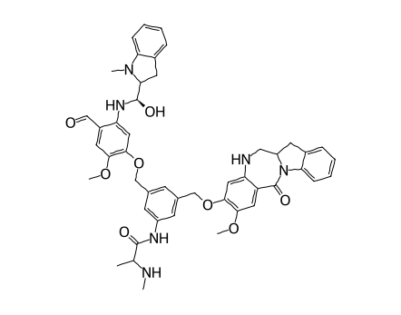 CNC(C)C(=O)Nc1cc(COc2cc(N[C@H](O)C3Cc4ccccc4N3C)c(C=O)cc2OC)cc(COc2cc3c(cc2OC)C(=O)N2c4ccccc4CC2CN3)c1